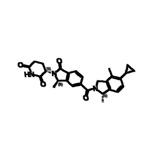 Cc1c(C2CC2)ccc2c1CN(C(=O)c1ccc3c(c1)[C@@H](C)N([C@H]1CCC(=O)NC1=O)C3=O)[C@H]2C